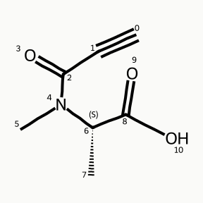 C#CC(=O)N(C)[C@@H](C)C(=O)O